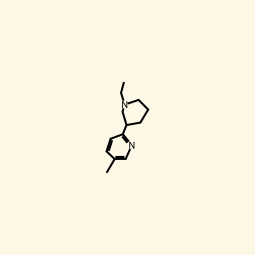 CCN1CCCC(c2ccc(C)cn2)C1